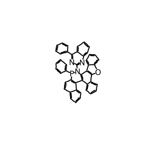 c1ccc(-c2nc(N3c4c(c5ccccc5c5oc6ccccc6c45)-c4c(ccc5ccccc45)P3c3ccccc3)nc3ccccc23)cc1